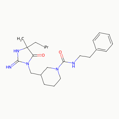 CC(C)CC1(C)NC(=N)N(CC2CCCN(C(=O)NCCc3ccccc3)C2)C1=O